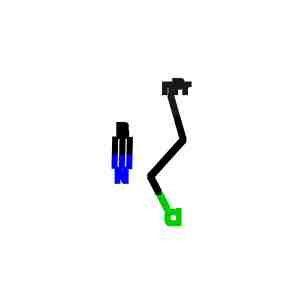 B#N.CCCCCCl